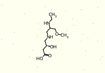 CCNC(CNC[C@@H](O)CC(=O)O)COC